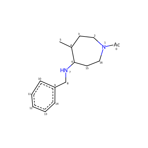 CC(=O)N1CCC(C)C(NCc2ccccc2)CC1